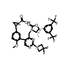 COc1ccc(C2C[C@H]2C(=O)O)cc1-c1cnc(N2CC(F)(F)C2)nc1CN1C(=O)O[C@H](c2cc(C(F)(F)F)cc(C(F)(F)F)c2)[C@@H]1C